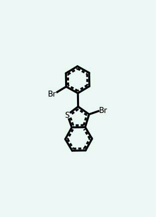 Brc1ccccc1-c1sc2ccccc2c1Br